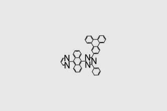 C1=CCCC(c2nc(-c3ccc4c5ccccc5c5ccccc5c4c3)nc(-c3c4ccccc4c(-c4ncccn4)c4ccccc34)n2)=C1